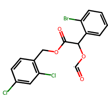 O=[C]OC(C(=O)OCc1ccc(Cl)cc1Cl)c1ccccc1Br